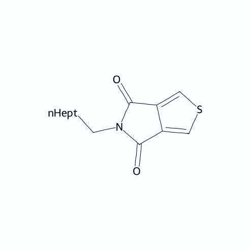 CCCCCCCCN1C(=O)c2cscc2C1=O